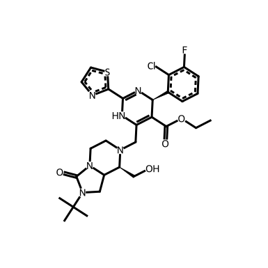 CCOC(=O)C1=C(CN2CCN3C(=O)N(C(C)(C)C)CC3[C@@H]2CO)NC(c2nccs2)=N[C@H]1c1cccc(F)c1Cl